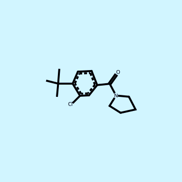 CC(C)(C)c1ccc(C(=O)N2CCCC2)cc1Cl